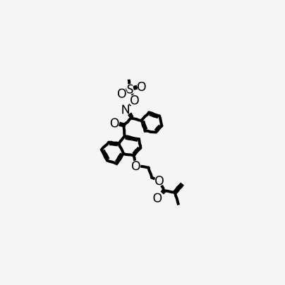 C=C(C)C(=O)OCCOc1ccc(C(=O)/C(=N/OS(C)(=O)=O)c2ccccc2)c2ccccc12